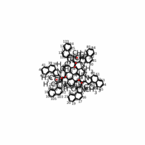 CN1C(=CC=C2CCCC(C=CC3=[N+](C)c4ccc5ccccc5c4C3(C)C)=C2C(C2=C(C=CC3=[N+](C)c4ccc5ccccc5c4C3(C)C)CCCC2=CC=C2N(C)c3ccc4ccccc4c3C2(C)C)C2=C(C=CC3N(C)c4ccc5ccccc5c4C3(C)C)CCCC2=CC=C2N(C)c3ccc4ccccc4c3C2(C)C)C(C)(C)c2c1ccc1ccccc21